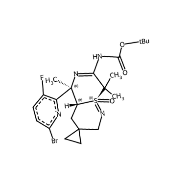 CC(C)(C)OC(=O)NC1=N[C@](C)(c2nc(Br)ccc2F)[C@H]2CC3(CC3)CN=[S@]2(=O)C1(C)C